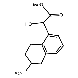 COC(=O)C(O)c1cccc2c1CCC(NC(C)=O)C2